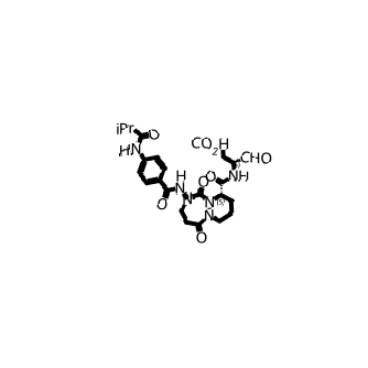 CC(C)C(=O)Nc1ccc(C(=O)NN2CCC(=O)N3CCC[C@@H](C(=O)N[C@H](C=O)CC(=O)O)N3C2=O)cc1